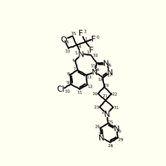 FC(F)(F)C1(N2Cc3cc(Cl)ccc3-n3c(nnc3C3CC4(C3)CN(c3cnccn3)C4)C2)COC1